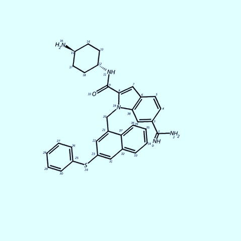 N=C(N)c1ccc2cc(C(=O)N[C@H]3CC[C@H](N)CC3)n(Cc3cc(Sc4ccccc4)cc4ccccc34)c2c1